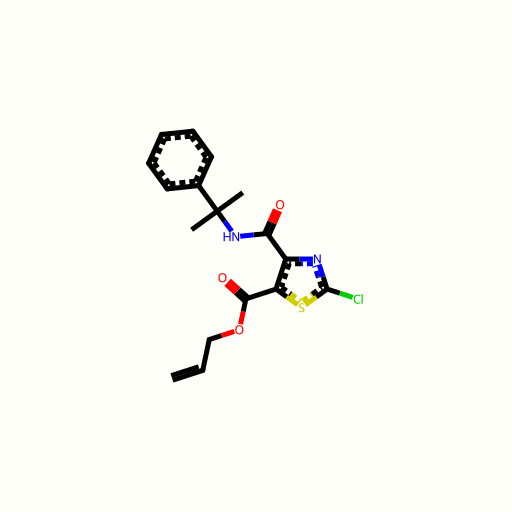 C=CCOC(=O)c1sc(Cl)nc1C(=O)NC(C)(C)c1ccccc1